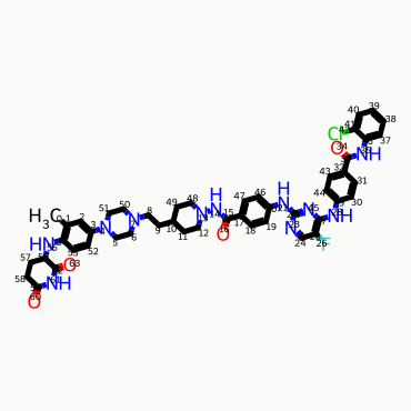 Cc1cc(N2CCN(CCC3CCN(NC(=O)c4ccc(Nc5ncc(F)c(Nc6ccc(C(=O)Nc7ccccc7Cl)cc6)n5)cc4)CC3)CC2)ccc1NC1CCC(=O)NC1=O